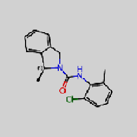 Cc1cccc(Cl)c1NC(=O)N1Cc2ccccc2[C@@H]1C